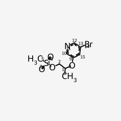 CC(COS(C)(=O)=O)Oc1cncc(Br)c1